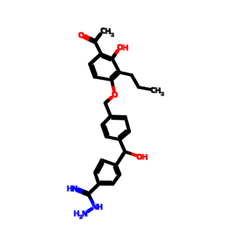 CCCc1c(OCc2ccc(C(O)c3ccc(C(=N)NN)cc3)cc2)ccc(C(C)=O)c1O